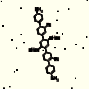 CCCCCCC1=CC(C2=CC(CC)[C@H](C3=CC[C@H](N)C=C3)C=C2)[C@@H](CCCCCC)C=C1C1C=CC(C2C=CC(N)=CC2)=C(CC)C1